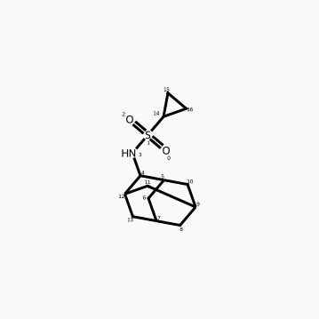 O=S(=O)(NC1C2CC3CC(C2)CC1C3)C1CC1